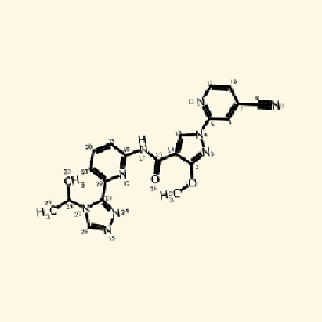 COc1nn(-c2cc(C#N)ccn2)cc1C(=O)Nc1cccc(-c2nncn2C(C)C)n1